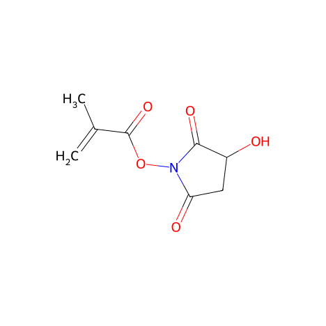 C=C(C)C(=O)ON1C(=O)CC(O)C1=O